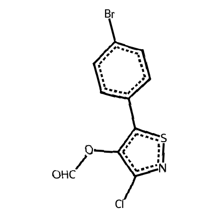 O=COc1c(Cl)nsc1-c1ccc(Br)cc1